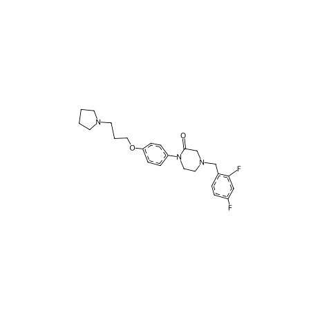 O=C1CN(Cc2ccc(F)cc2F)CCN1c1ccc(OCCCN2CCCC2)cc1